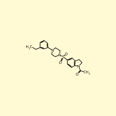 CCc1cccc(N2CCN(S(=O)(=O)c3ccc4c(c3)CCN4C(C)=O)CC2)c1